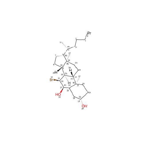 CC(C)CCC[C@@H](C)[C@H]1CC[C@H]2[C@@H]3[C@H](Br)[C@H](O)C4C[C@@H](O)CC[C@]4(C)[C@H]3CC[C@]12C